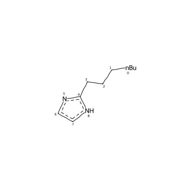 [CH2]CCCCCCc1ncc[nH]1